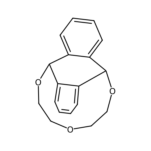 c1ccc2c(c1)C1OCCOCCOC2c2ccccc21